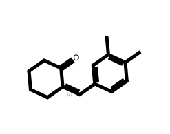 Cc1ccc(/C=C2/CCCCC2=O)cc1C